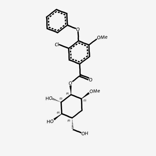 COc1cc(C(=O)O[C@@H]2[C@@H](O)[C@H](O)[C@@H](CO)C[C@@H]2OC)cc(Cl)c1Oc1ccccc1